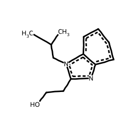 CC(C)Cn1c(CCO)nc2ccccc21